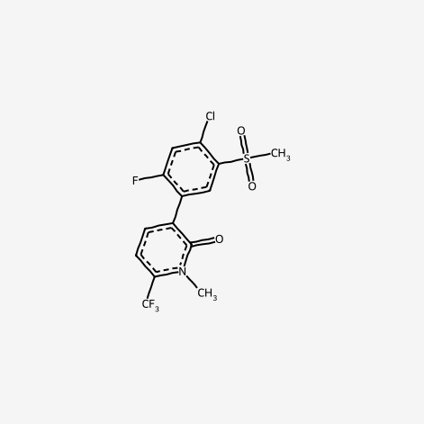 Cn1c(C(F)(F)F)ccc(-c2cc(S(C)(=O)=O)c(Cl)cc2F)c1=O